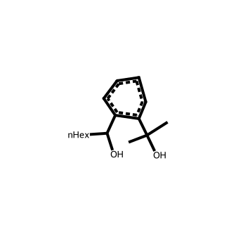 CCCCCCC(O)c1ccccc1C(C)(C)O